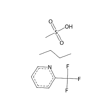 CCCC.CS(=O)(=O)O.FC(F)(F)c1ccccn1